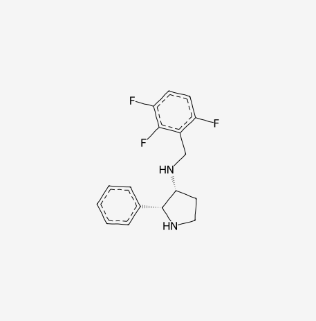 Fc1ccc(F)c(CN[C@@H]2CCN[C@@H]2c2ccccc2)c1F